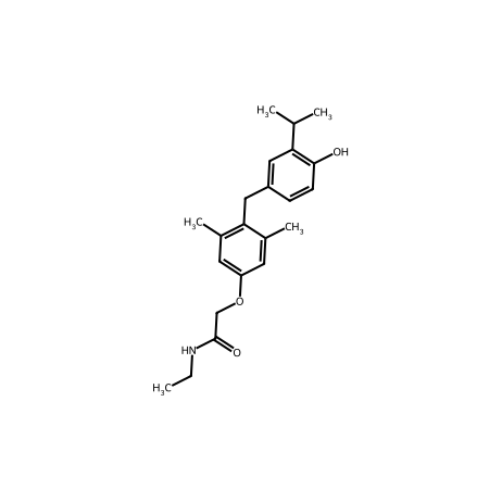 CCNC(=O)COc1cc(C)c(Cc2ccc(O)c(C(C)C)c2)c(C)c1